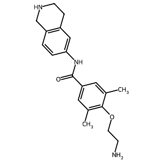 Cc1cc(C(=O)Nc2ccc3c(c2)CCNC3)cc(C)c1OCCN